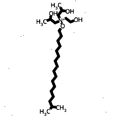 CC(C)CCCCCCCCCCCCCCCO[N+](CCO)(CC(C)O)CC(C)O